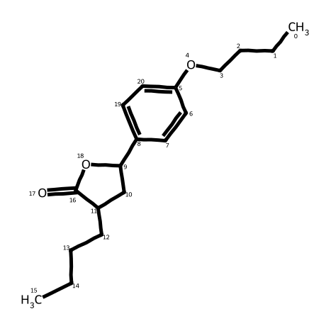 CCCCOc1ccc(C2CC(CCCC)C(=O)O2)cc1